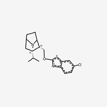 CC(C)[C@@H]1CC2CCC([C@@H]1COc1nc3ccc(Cl)cc3s1)N2C